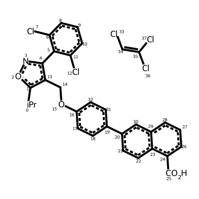 CC(C)c1onc(-c2c(Cl)cccc2Cl)c1COc1ccc(-c2ccc3c(C(=O)O)cccc3c2)cc1.ClC=C(Cl)Cl